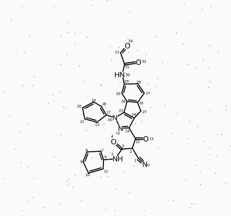 N#CC(C(=O)Nc1ccccc1)C(=O)c1nn(-c2ccccc2)c2c1Cc1ccc(NC(=O)C=O)cc1-2